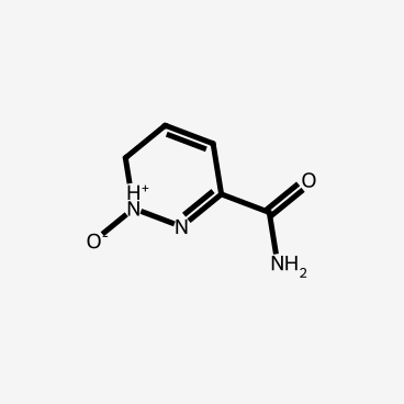 NC(=O)C1=N[NH+]([O-])CC=C1